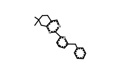 CC1(C)CCc2cnc(-c3cccc(Cc4ccccc4)n3)nc2C1